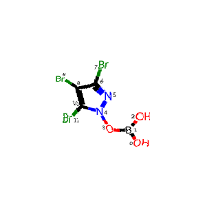 OB(O)On1nc(Br)c(Br)c1Br